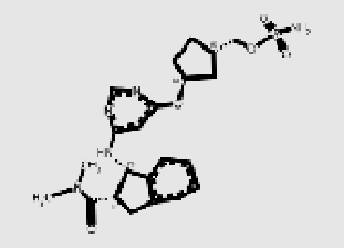 CN(C)C(=O)[C@H]1Cc2ccccc2[C@H]1Nc1cc(O[C@H]2CC[C@H](COS(N)(=O)=O)C2)ncn1